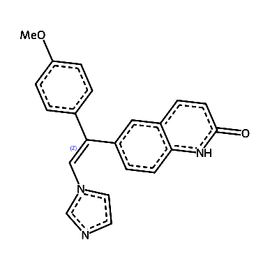 COc1ccc(/C(=C/n2ccnc2)c2ccc3[nH]c(=O)ccc3c2)cc1